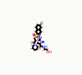 C/N=c1\sc([N+]2(C(=O)CCS(=O)(=O)c3ccc4cc(Cl)ccc4c3)CCCCC2)c(C(=O)NCCO)n1C